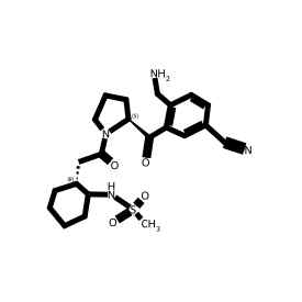 CS(=O)(=O)NC1CCCC[C@@H]1CC(=O)N1CCC[C@H]1C(=O)c1cc(C#N)ccc1CN